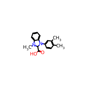 Cc1ccc(N2c3ccccc3N(C)C2C(=O)O)cc1C